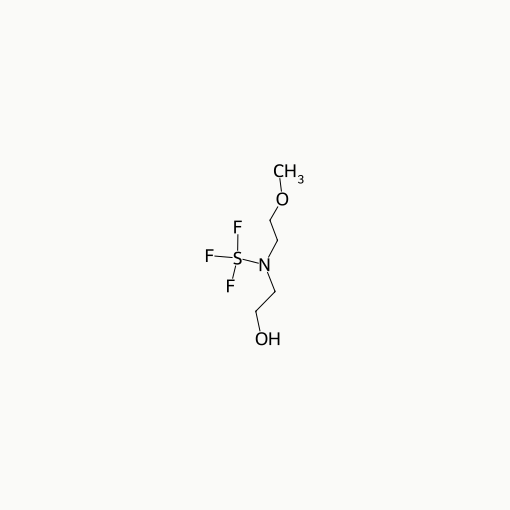 COCCN(CCO)S(F)(F)F